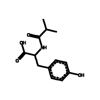 CC(C)C(=O)NC(Cc1ccc(O)cc1)C(=O)O